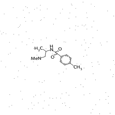 [CH2]C(CNC)NS(=O)(=O)c1ccc(C)cc1